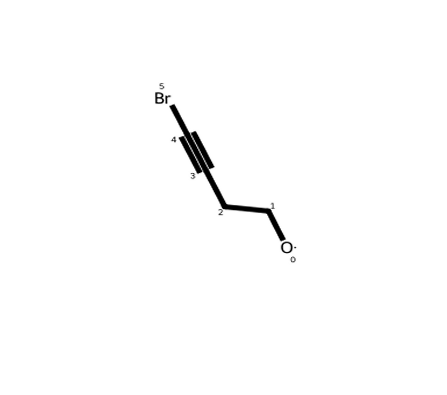 [O]CCC#CBr